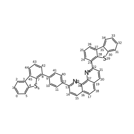 c1ccc2c(c1)sc1c(-c3ccc(-c4ccc5ccc6ccc(-c7cccc8c7sc7ccccc78)nc6c5n4)cc3)cccc12